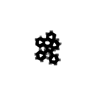 c1ccc(-c2ccccc2-n2c(-c3ccccc3)c(-c3ccccc3)c3ccccc32)cc1